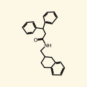 O=C(CC(c1ccccc1)c1ccccc1)NCC1CCc2ccccc2C1